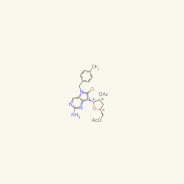 CC(=O)OC[C@@H]1C[C@@H](OC(C)=O)[C@H](n2c(=O)n(Cc3ccc(C(F)(F)F)cc3)c3cnc(N)nc32)O1